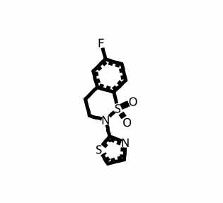 O=S1(=O)c2ccc(F)cc2CCN1c1nccs1